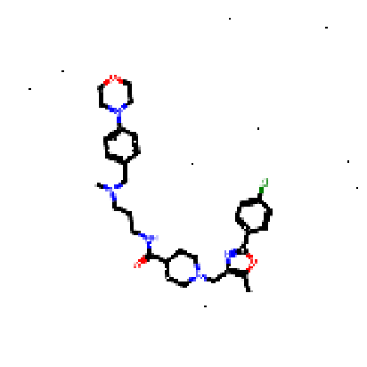 Cc1oc(-c2ccc(Cl)cc2)nc1CN1CCC(C(=O)NCCCN(C)Cc2ccc(N3CCOCC3)cc2)CC1